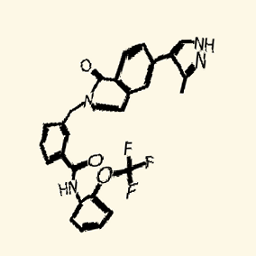 Cc1n[nH]cc1-c1ccc2c(=O)n(Cc3cccc(C(=O)Nc4ccccc4OC(F)(F)F)c3)ccc2c1